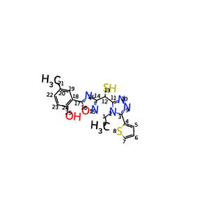 CCn1c(-c2cccs2)nnc1C(S)c1noc(-c2cc(C)ccc2O)n1